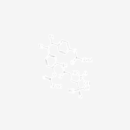 CCCCCC(=O)Oc1ccc(C(CC)C(CC)c2ccc(OC(=O)CCCCC)c(NC(=O)CCC(P(=O)(O)O)P(=O)(O)O)c2)cc1